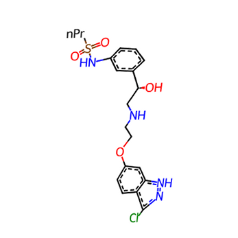 CCCS(=O)(=O)Nc1cccc([C@@H](O)CNCCOc2ccc3c(Cl)n[nH]c3c2)c1